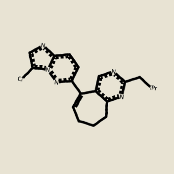 CC(C)Cc1ncc2c(n1)CCCC=C2c1ccc2ncc(Cl)n2n1